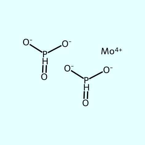 O=[PH]([O-])[O-].O=[PH]([O-])[O-].[Mo+4]